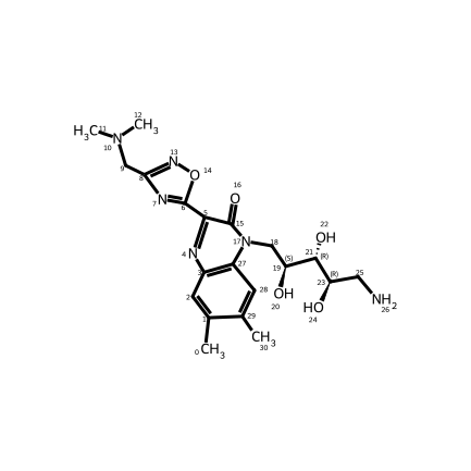 Cc1cc2nc(-c3nc(CN(C)C)no3)c(=O)n(C[C@H](O)[C@H](O)[C@H](O)CN)c2cc1C